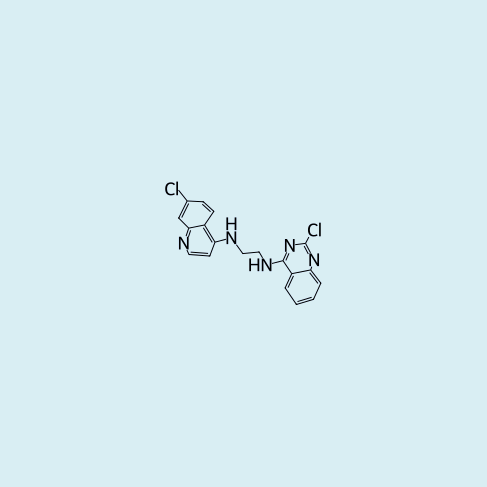 Clc1ccc2c(NCCNc3nc(Cl)nc4ccccc34)ccnc2c1